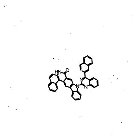 O=c1[nH]c2ccc3ccccc3c2c2cc3c4ccccc4n(-c4nc(-c5ccc6ccccc6c5)c5ccccc5n4)c3cc12